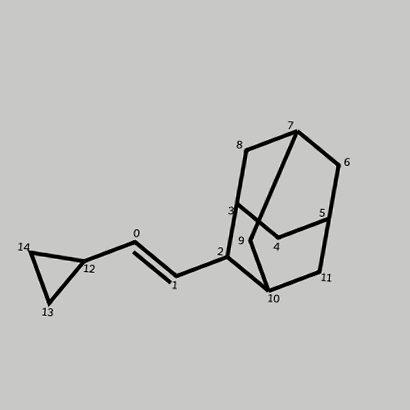 C(=CC1C2CC3CC(C2)CC1C3)C1CC1